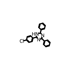 Clc1ccc(C2=NC(c3ccccc3)=NC(c3ccccc3)N2)cc1